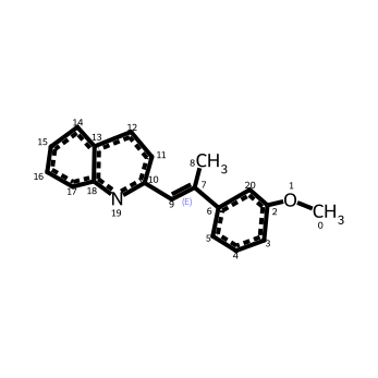 COc1cccc(/C(C)=C/c2ccc3ccccc3n2)c1